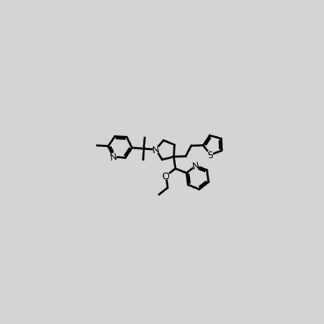 CCOC(c1ccccn1)C1(CCc2cccs2)CCN(C(C)(C)c2ccc(C)nc2)C1